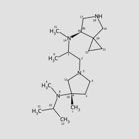 CC(CN1CC[C@](C)(N(C)C(C)C)C1)N(C)[C@H]1CNCC12CC2